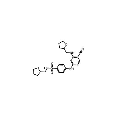 N#Cc1cnc(Nc2ccc(S(=O)(=O)NCC3CCCO3)cc2)nc1NCC1CCCO1